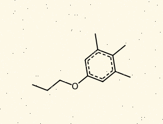 CCCOc1cc(C)c(C)c(C)c1